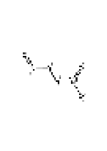 O=NON[N+](=O)[O-]